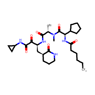 CCC[C@@H](C(=O)N[C@@H](C[C@@H]1CCCNC1=O)C(=O)C(=O)NC1CC1)N(C)C(=O)[C@H](NC(=O)CCCCC(F)(F)F)C1CCCC1